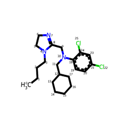 CCCCN1CCN=C1CN(CC1CCCCC1)c1ccc(Cl)cc1Cl